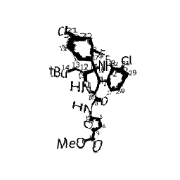 COC(=O)c1ccc(NC(=O)[C@@H]2N[C@@H](CC(C)(C)C)[C@](N)(c3ccc(Cl)cc3F)[C@H]2c2cccc(Cl)c2F)o1